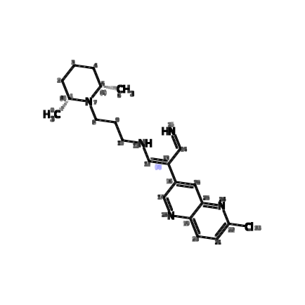 C[C@@H]1CCC[C@H](C)N1CCCN/C=C(\C=N)c1cnc2ccc(Cl)nc2c1